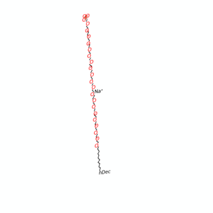 CCCCCCCCCCCCCCCCCCCCCCOCCOCCOCCOCCOCCOCCOCCOCCOCCOCCOCCOCCOCCOCCOCCOCCOCCOCCOCCOCCS(=O)(=O)[O-].[Na+]